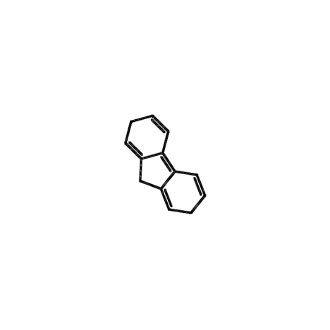 C1=CC2=C3C=CCC=C3CC2=CC1